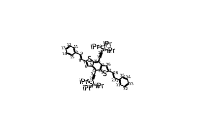 CC(C)[Si](C#Cc1c2cc(C=Cc3ccccc3)sc2c(C#C[Si](C(C)C)(C(C)C)C(C)C)c2cc(C=Cc3ccccc3)sc12)(C(C)C)C(C)C